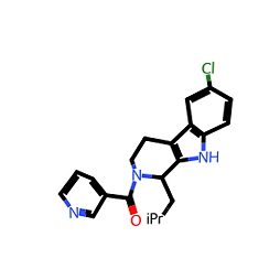 CC(C)CC1c2[nH]c3ccc(Cl)cc3c2CCN1C(=O)c1cccnc1